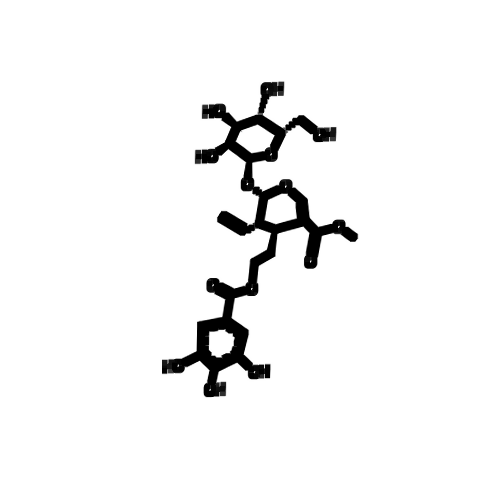 C=C[C@@H]1[C@H](O[C@@H]2O[C@@H](CO)[C@@H](O)[C@H](O)[C@@H]2O)OC=C(C(=O)OC)[C@H]1CCOC(=O)c1cc(O)c(O)c(O)c1